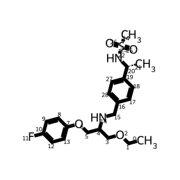 CCOCC(COc1ccc(F)cc1)NCc1ccc([C@@H](C)NS(C)(=O)=O)cc1